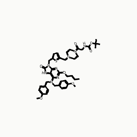 CCCCOc1nc(N(Cc2ccc(OC)cc2)Cc2ccc(OC)cc2)c2[nH]c(=O)n(Cc3ccc(CN4CCN(C(=O)CNC(=O)OC(C)(C)C)CC4)s3)c2n1